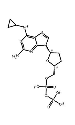 Nc1nc(NC2CC2)c2ncn([C@H]3CC[C@@H](COP(=O)(O)OP(=O)(O)O)O3)c2n1